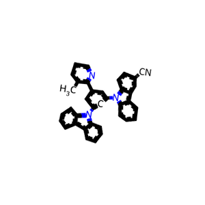 Cc1cccnc1-c1cc(-n2c3ccccc3c3ccccc32)cc(-n2c3ccccc3c3cc(C#N)ccc32)c1